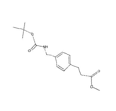 COC(=O)CCc1ccc(CNC(=O)OC(C)(C)C)cc1